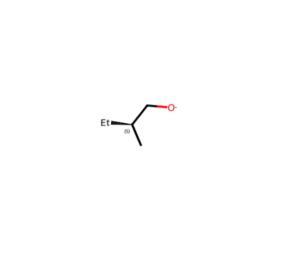 CC[C@H](C)C[O]